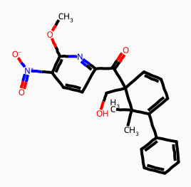 COc1nc(C(=O)C2(CO)C=CC=C(c3ccccc3)C2(C)C)ccc1[N+](=O)[O-]